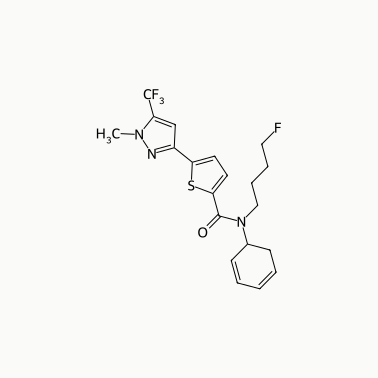 Cn1nc(-c2ccc(C(=O)N(CCCCF)C3C=CC=CC3)s2)cc1C(F)(F)F